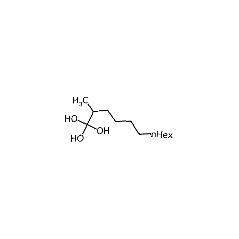 CCCCCCCCCCC(C)C(O)(O)O